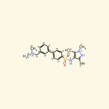 CCCc1nn(C)c(C)c1NS(=O)(=O)c1ccc(-c2cccc(CN(C)C)c2)cc1